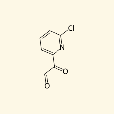 O=CC(=O)c1cccc(Cl)n1